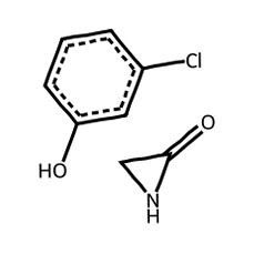 O=C1CN1.Oc1cccc(Cl)c1